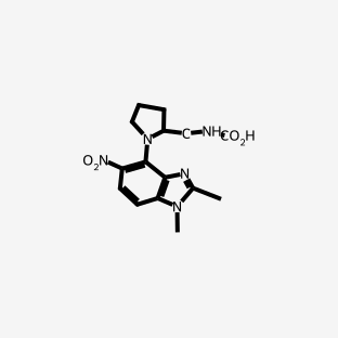 Cc1nc2c(N3CCCC3CNC(=O)O)c([N+](=O)[O-])ccc2n1C